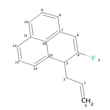 C=CCC1C(F)=Cc2cccc3cccc1c23